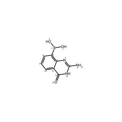 Nc1nc2c(B(O)O)cccc2c(=O)[nH]1